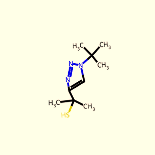 CC(C)(S)c1cn(C(C)(C)C)nn1